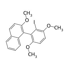 COc1ccc(OC)c(-c2c(OC)ccc3ccccc23)c1I